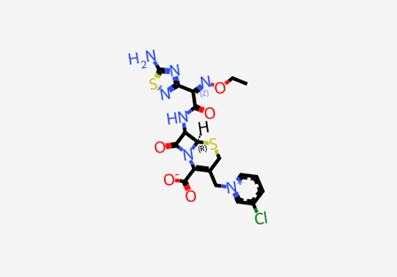 CCO/N=C(\C(=O)NC1C(=O)N2C(C(=O)[O-])=C(C[n+]3cccc(Cl)c3)CS[C@H]12)c1nsc(N)n1